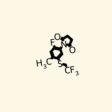 Cc1cc(F)c(N2C(=O)CCC2=O)cc1SCC(F)(F)F